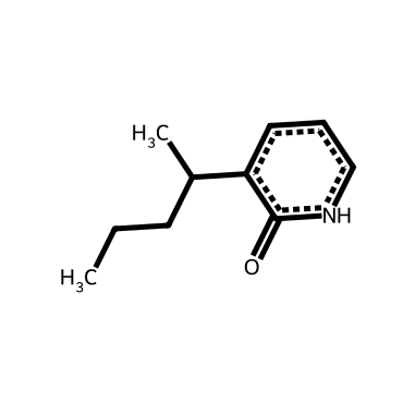 CCCC(C)c1ccc[nH]c1=O